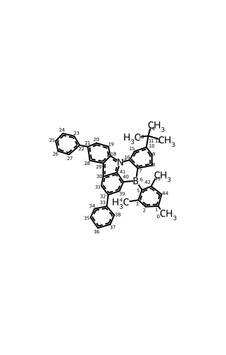 Cc1cc(C)c(B2c3ccc(C(C)(C)C)cc3-n3c4ccc(-c5ccccc5)cc4c4cc(-c5ccccc5)cc2c43)c(C)c1